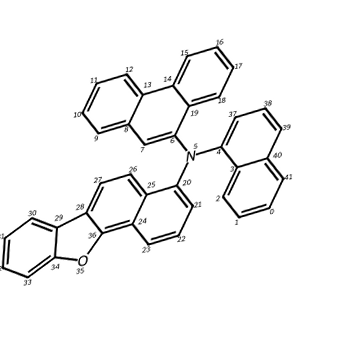 c1ccc2c(N(c3cc4ccccc4c4ccccc34)c3cccc4c3ccc3c5ccccc5oc43)cccc2c1